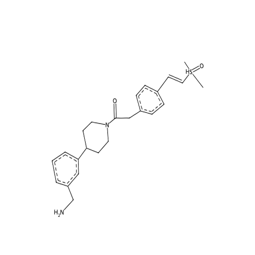 C[SH](C)(=O)/C=C/c1ccc(CC(=O)N2CCC(c3cccc(CN)c3)CC2)cc1